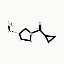 CC[C@H]1CCN(C(=O)C2CC2)C1